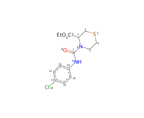 CCOC(=O)C1CSCCN1C(=O)Nc1ccc(Cl)cc1